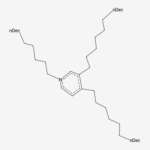 CCCCCCCCCCCCCCCCc1cc[n+](CCCCCCCCCCCCCCC)cc1CCCCCCCCCCCCCCCC